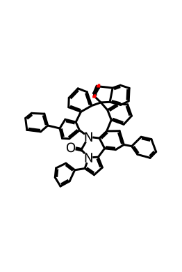 O=c1n2c3c(cc(-c4ccccc4)cc3c3ccc(-c4ccccc4)n13)-c1ccccc1C1(c3ccccc3-c3cc(-c4ccccc4)ccc3-2)c2ccccc2-c2ccccc21